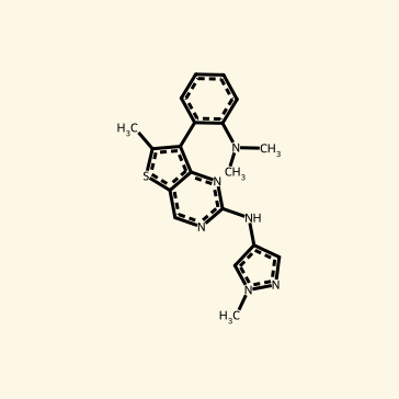 Cc1sc2cnc(Nc3cnn(C)c3)nc2c1-c1ccccc1N(C)C